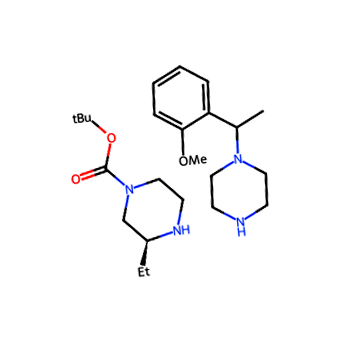 CC[C@H]1CN(C(=O)OC(C)(C)C)CCN1.COc1ccccc1C(C)N1CCNCC1